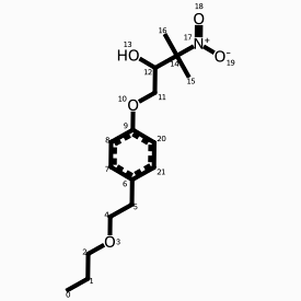 CCCOCCc1ccc(OCC(O)C(C)(C)[N+](=O)[O-])cc1